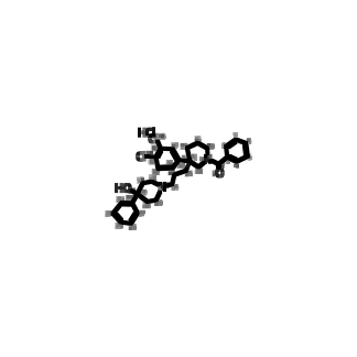 Cl.O=C(c1ccccc1)N1CCC[C@@](CCCN2CCC(O)(c3ccccc3)CC2)(c2ccc(Cl)c(Cl)c2)C1